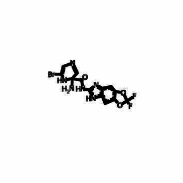 NC1(C(=O)Nc2nc3cc4c(cc3[nH]2)OC(F)(F)O4)C=NC=C(Br)N1